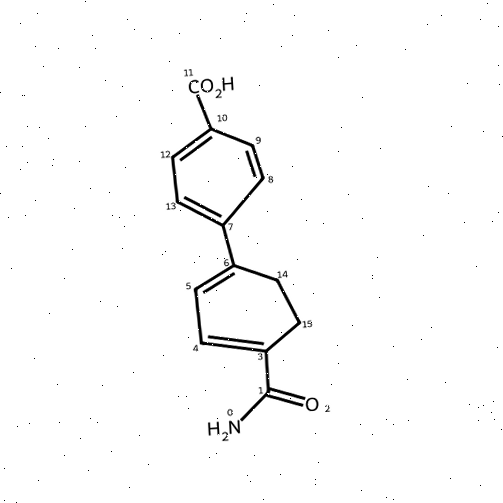 NC(=O)C1=CC=C(c2ccc(C(=O)O)cc2)CC1